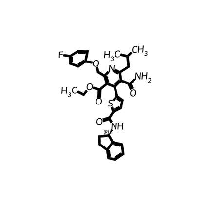 CCOC(=O)c1c(COc2ccc(F)cc2)nc(CC(C)C)c(C(N)=O)c1-c1ccc(C(=O)N[C@@H]2CCc3ccccc32)s1